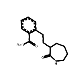 COC(=O)c1ccccc1CCC1CCCCNC1=O